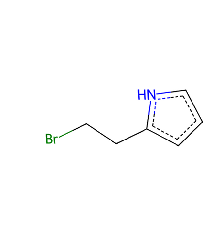 BrCCc1ccc[nH]1